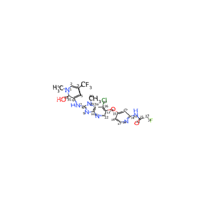 CN1C=C(C(F)(F)F)C=C(Nc2nc3ncc(Oc4ccnc(NC(=O)CF)c4)c(Cl)c3n2C)C1O